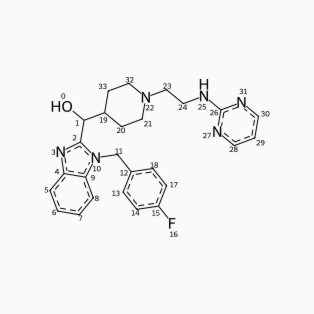 OC(c1nc2ccccc2n1Cc1ccc(F)cc1)C1CCN(CCNc2ncccn2)CC1